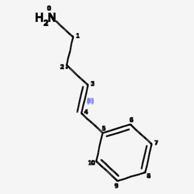 NC[CH]/C=C/c1ccccc1